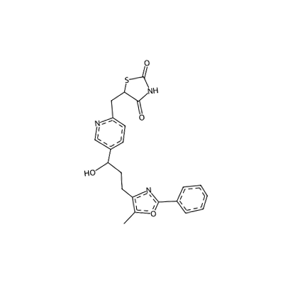 Cc1oc(-c2ccccc2)nc1CCC(O)c1ccc(CC2SC(=O)NC2=O)nc1